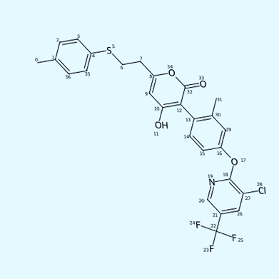 Cc1ccc(SCCc2cc(O)c(-c3ccc(Oc4ncc(C(F)(F)F)cc4Cl)cc3C)c(=O)o2)cc1